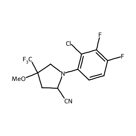 COC1(C(F)(F)F)CC(C#N)N(c2ccc(F)c(F)c2Cl)C1